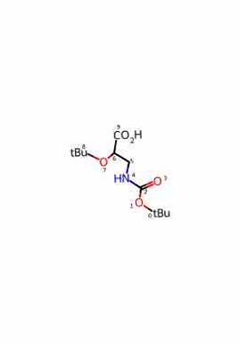 CC(C)(C)OC(=O)NCC(OC(C)(C)C)C(=O)O